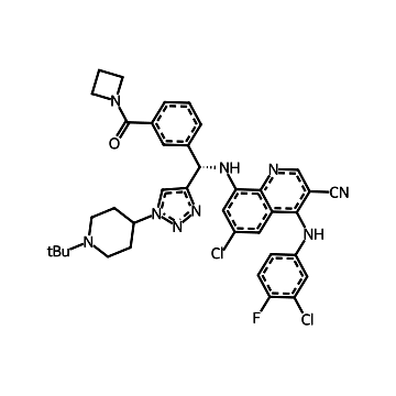 CC(C)(C)N1CCC(n2cc([C@@H](Nc3cc(Cl)cc4c(Nc5ccc(F)c(Cl)c5)c(C#N)cnc34)c3cccc(C(=O)N4CCC4)c3)nn2)CC1